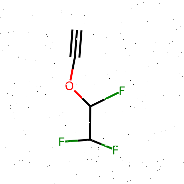 C#COC(F)C(F)F